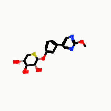 COc1ncc(-c2cccc(O[C@H]3SC[C@@H](O)[C@H](O)[C@H]3O)c2)cn1